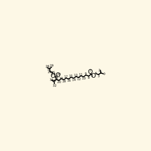 CC(C)CCOC(=O)CCCCCCCCCCCCCC(C(=O)OCCC(C)C)C(C)C